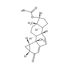 CCCC(=O)O[C@]1(C(C)=O)CC[C@H]2[C@@H]3C=CC4=CC(=O)[C@@H]5C[C@@H]5[C@]4(C)[C@H]3CC[C@@]21C